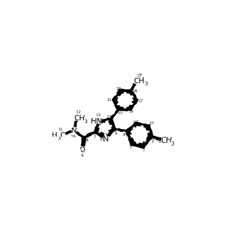 Cc1ccc(-c2nc(C(=O)N(C)C)[nH]c2-c2ccc(C)cc2)cc1